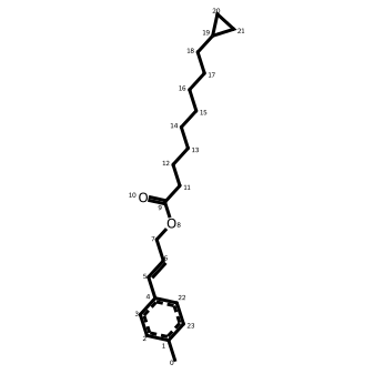 Cc1ccc(C=CCOC(=O)CCCCCCCCC2CC2)cc1